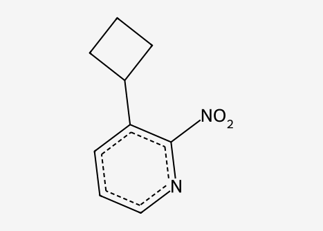 O=[N+]([O-])c1ncccc1C1CCC1